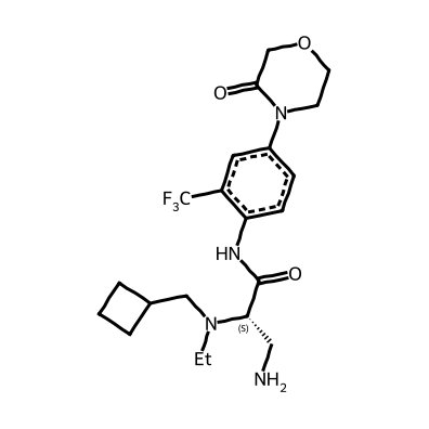 CCN(CC1CCC1)[C@@H](CN)C(=O)Nc1ccc(N2CCOCC2=O)cc1C(F)(F)F